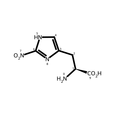 N[C@@H](Cc1c[nH]c([N+](=O)[O-])n1)C(=O)O